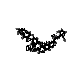 COc1cc(Oc2ccn3ncnc3c2)c(C)cc1Nc1ncnc2cc(F)c(NC(=O)/C(F)=C/C3CCCN3C)cc12